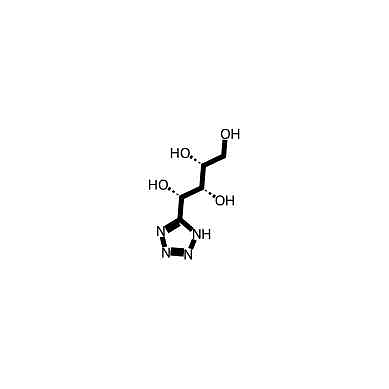 OC[C@@H](O)[C@H](O)[C@@H](O)c1nnn[nH]1